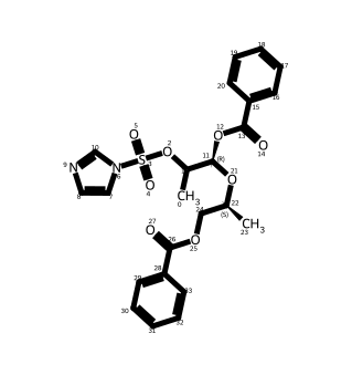 CC(OS(=O)(=O)n1ccnc1)[C@@H](OC(=O)c1ccccc1)O[C@@H](C)COC(=O)c1ccccc1